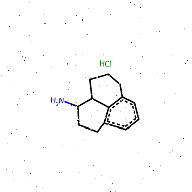 Cl.NC1CCc2cccc3c2C1CCC3